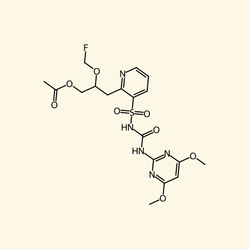 COc1cc(OC)nc(NC(=O)NS(=O)(=O)c2cccnc2CC(COC(C)=O)OCF)n1